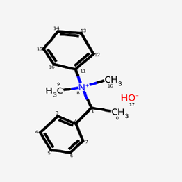 CC(c1ccccc1)[N+](C)(C)c1ccccc1.[OH-]